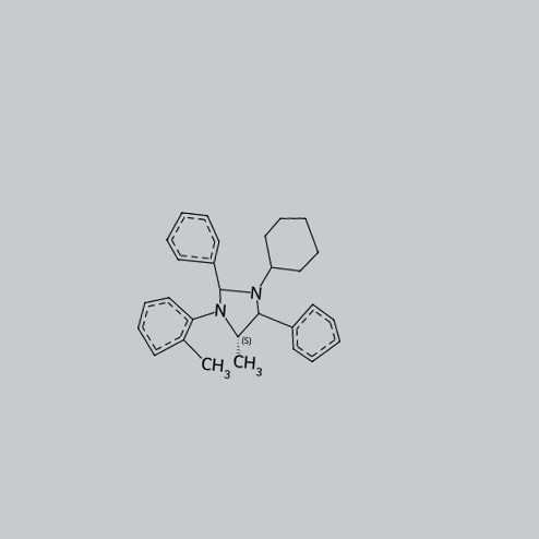 Cc1ccccc1N1C(c2ccccc2)N(C2CCCCC2)C(c2ccccc2)[C@@H]1C